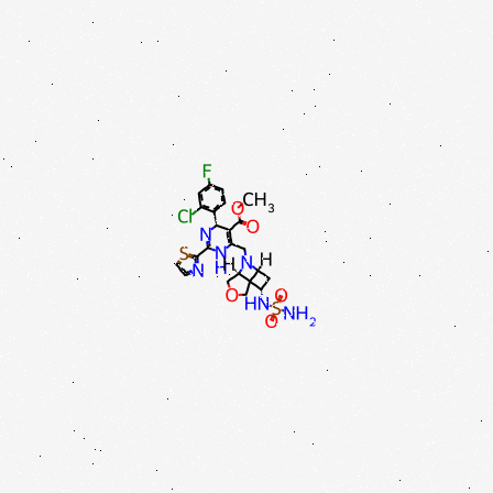 COC(=O)C1=C(CN2[C@@H]3COCC34[C@@H](NS(N)(=O)=O)C[C@@H]24)NC(c2nccs2)=N[C@H]1c1ccc(F)cc1Cl